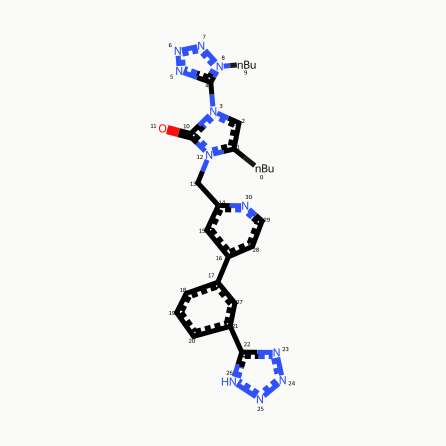 CCCCc1cn(-c2nnnn2CCCC)c(=O)n1Cc1cc(-c2cccc(-c3nnn[nH]3)c2)ccn1